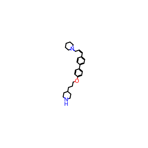 C(=C/c1ccc(-c2ccc(OCCCC3CCNCC3)cc2)cc1)/CN1CCCCC1